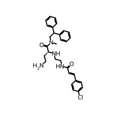 CN(CC(c1ccccc1)c1ccccc1)C(=O)[C@H](CCN)NCCNC(=O)/C=C/c1ccc(Cl)cc1